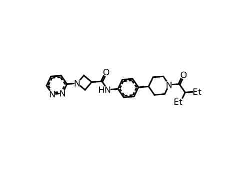 CCC(CC)C(=O)N1CCC(c2ccc(NC(=O)C3CN(c4cccnn4)C3)cc2)CC1